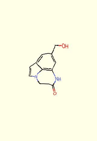 O=C1Cn2ccc3cc(CO)cc(c32)N1